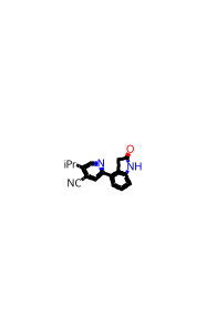 CC(C)c1cnc(-c2cccc3c2CC(=O)N3)cc1C#N